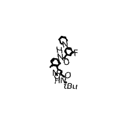 Cc1ccc(NC(=O)c2cc(F)cc(N3CCCCC3)c2)cc1-c1cc(C(=O)NCC(C)(C)C)on1